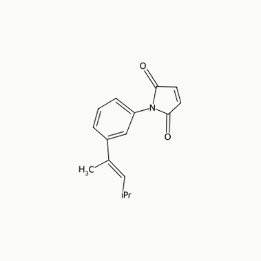 CC(=CC(C)C)c1cccc(N2C(=O)C=CC2=O)c1